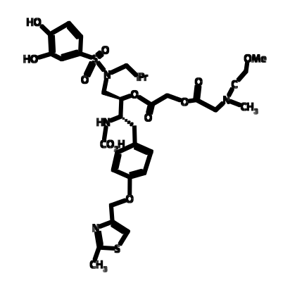 COCCN(C)CC(=O)OCC(=O)O[C@H](CN(CC(C)C)S(=O)(=O)c1ccc(O)c(O)c1)[C@H](Cc1ccc(OCc2csc(C)n2)cc1)NC(=O)O